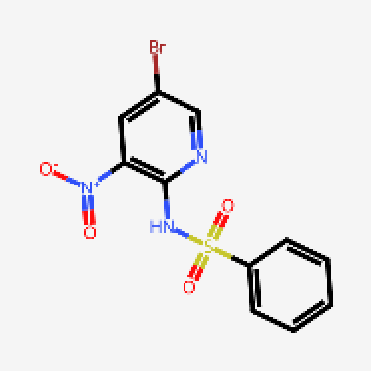 O=[N+]([O-])c1cc(Br)cnc1NS(=O)(=O)c1ccccc1